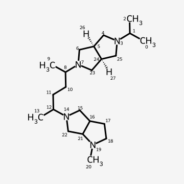 CC(C)N1C[C@@H]2CN(C(C)CCC(C)N3CC4CCN(C)C4C3)C[C@@H]2C1